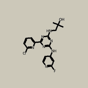 CC(C)(O)CNc1nc(Nc2ccnc(F)c2)nc(-c2cccc(Cl)n2)n1